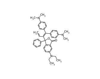 C=CC(=C(c1ccc(N(C)C)cc1)c1ccc(N(C)C)cc1)C1(c2ccccc2)OC(=O)c2cc(N(CC)CC)ccc21